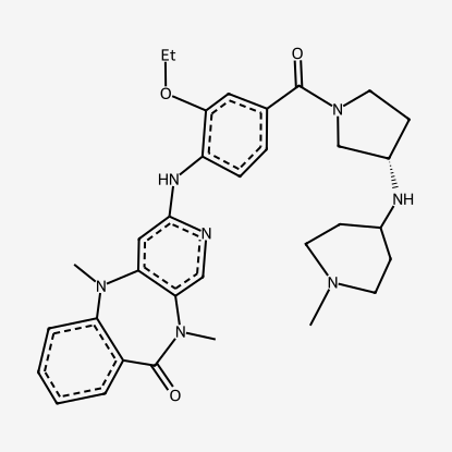 CCOc1cc(C(=O)N2CC[C@H](NC3CCN(C)CC3)C2)ccc1Nc1cc2c(cn1)N(C)C(=O)c1ccccc1N2C